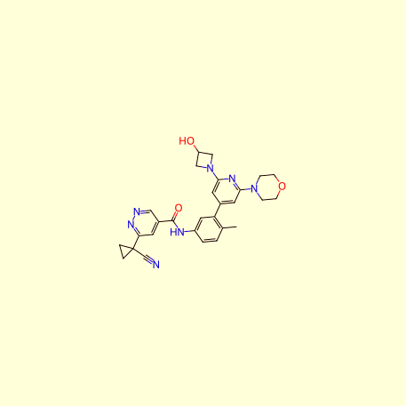 Cc1ccc(NC(=O)c2cnnc(C3(C#N)CC3)c2)cc1-c1cc(N2CCOCC2)nc(N2CC(O)C2)c1